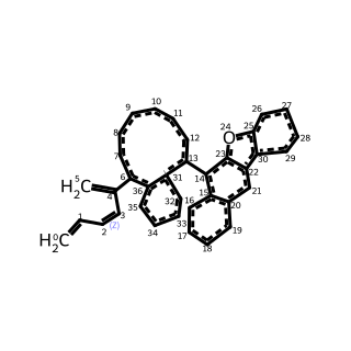 C=C/C=C\C(=C)c1ccccccc(-c2c3ccccc3cc3c2oc2ccccc23)c2ccccc12